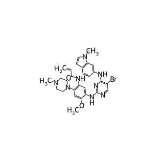 C=CC(=O)Nc1cc(Nc2ncc(Br)c(Nc3ccc4ccn(C)c4c3)n2)c(OC)cc1N1CCN(C)CC1